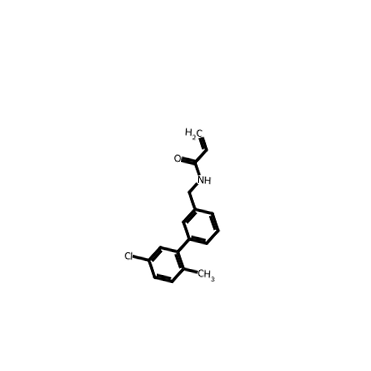 C=CC(=O)NCc1cccc(-c2cc(Cl)ccc2C)c1